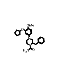 COc1ccc(N2CCN(C(N)=O)C(Cc3ccccc3)C2)cc1OC1CCCC1